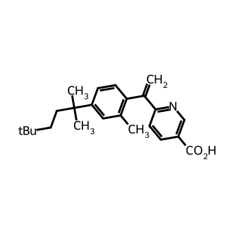 C=C(c1ccc(C(=O)O)cn1)c1ccc(C(C)(C)CCC(C)(C)C)cc1C